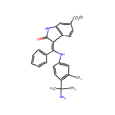 CCOC(=O)c1ccc2c(c1)NC(=O)C2=C(Nc1ccc(C(C)(C)N)c(C(F)(F)F)c1)c1ccccc1